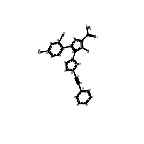 Cc1c(C(N)=O)nn(-c2ccc(Cl)cc2Cl)c1-c1ccc(C#Cc2ccccc2)s1